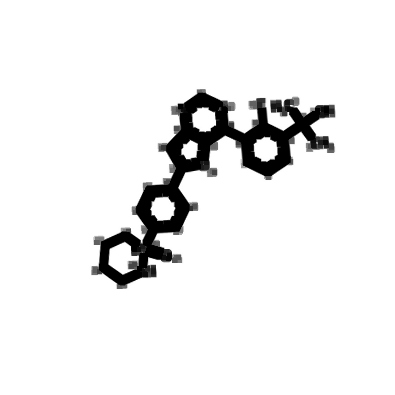 CC(C)(O)c1cccc(-c2ncnc3cc(-c4ccc([SH]5(=O)CCCCN5)cc4)oc23)c1F